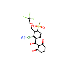 CS(=O)(=O)c1ccc(C(=O)C2C(=O)CCCC2=O)c(Cl)c1COCC(F)(F)F.N